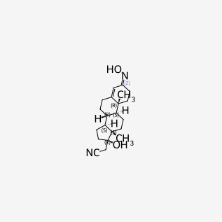 C[C@]12CC/C(=N/O)C=C1CC[C@@H]1[C@@H]2CC[C@@]2(C)[C@H]1CC[C@@]2(O)CC#N